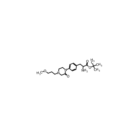 COCCCN1CCN(c2ccc(CC(N)C(=O)OC(C)(C)C)cc2)C(=O)C1